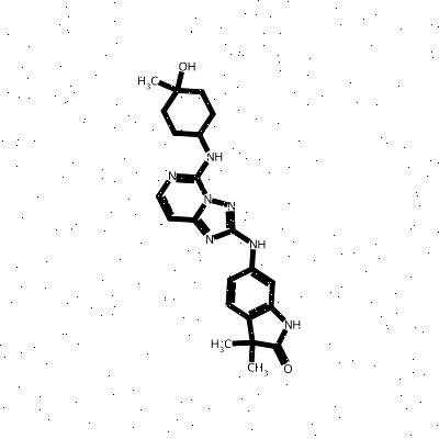 CC1(O)CCC(Nc2nccc3nc(Nc4ccc5c(c4)NC(=O)C5(C)C)nn23)CC1